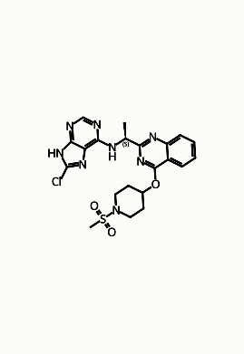 C[C@H](Nc1ncnc2[nH]c(Cl)nc12)c1nc(OC2CCN(S(C)(=O)=O)CC2)c2ccccc2n1